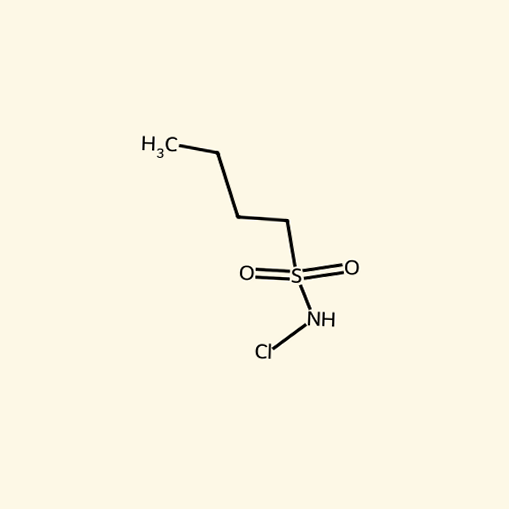 CCCCS(=O)(=O)NCl